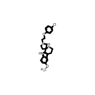 COc1ccc2[nH]c3c(c2c1)CCNC31CCN(CCOc2ccc(Cl)cc2)C1